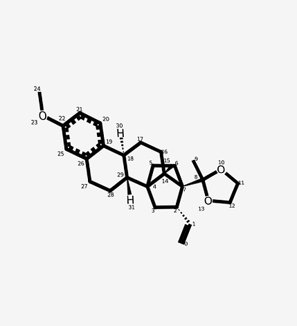 C=C[C@@H]1CC23CC[C@@]1(C1(C)OCCO1)[C@@]2(C)CC[C@@H]1c2ccc(OC)cc2CC[C@H]13